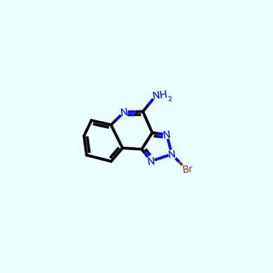 Nc1nc2ccccc2c2nn(Br)nc12